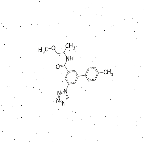 COCC(C)NC(=O)c1cc(-c2ccc(C)cc2)cc(-n2cnnn2)c1